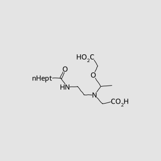 CCCCCCCC(=O)NCCN(CC(=O)O)C(C)OCC(=O)O